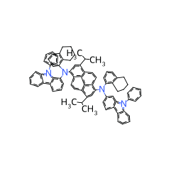 CC(C)c1cc(N(c2ccc3c4ccccc4n(-c4ccccc4)c3c2)c2cccc3c2CCCC3)c2ccc3c(C(C)C)cc(N(c4cccc5c4CCCC5)c4cccc5c6ccccc6n(-c6ccccc6)c45)c4ccc1c2c34